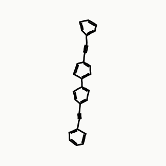 C(#Cc1ccc(-c2ccc(C#Cc3ccccc3)cc2)cc1)c1ccccc1